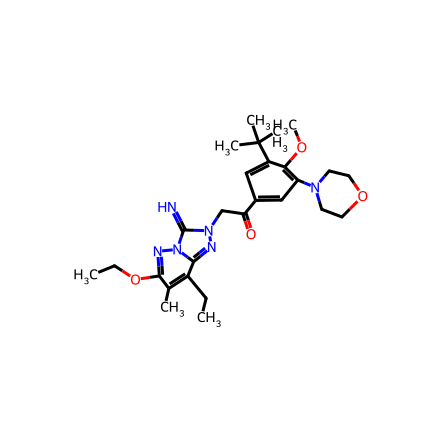 CCOc1nn2c(=N)n(CC(=O)c3cc(N4CCOCC4)c(OC)c(C(C)(C)C)c3)nc2c(CC)c1C